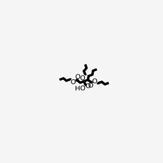 CCCCOC(=O)CC(OCCCC)(C(=O)O)C(CCCC)C(=O)OCCCC